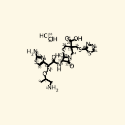 CC(CN)ON=C(C(=O)NC1C(=O)N2CC(CSc3nncs3)(C(=O)O)CS[C@H]12)c1csc(N)n1.Cl.Cl